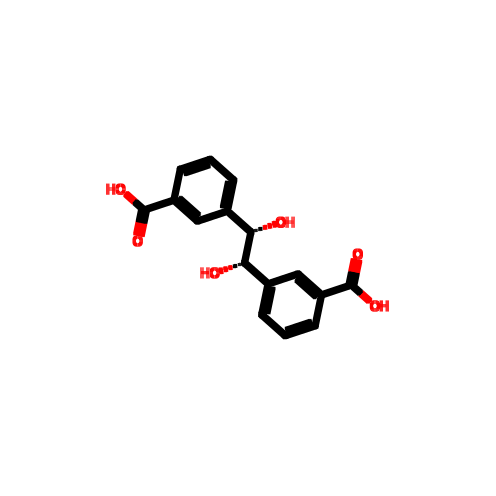 O=C(O)c1cccc([C@H](O)[C@@H](O)c2cccc(C(=O)O)c2)c1